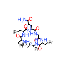 CC(C)C[C@H](NC(=O)CNC(=O)[C@H](CCC(N)=O)NC(=O)[C@H](CC(C)C)NC(=O)[C@@H](N)CC(C)C)C(=O)N[C@H](C(=O)O)C(C)C